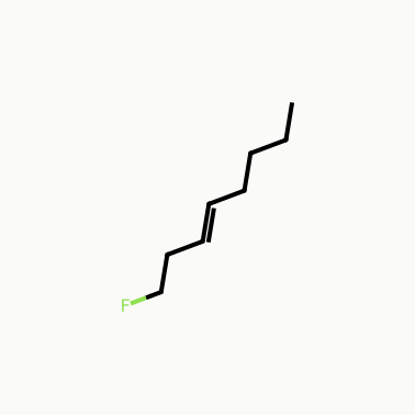 CCCCC=CCCF